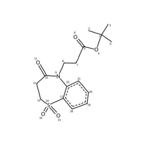 CC(C)(C)OC(=O)CCN1C(=O)CCS(=O)(=O)c2ccccc21